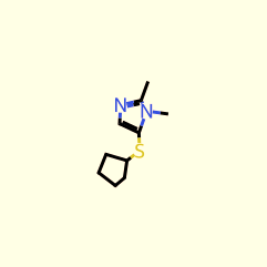 Cc1ncc(SC2CCCC2)n1C